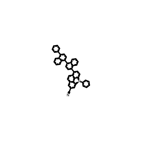 N#Cc1cc2ccc3c(-c4ccc(-c5ccc(-c6ccccc6)c6ccccc56)c5ccccc45)ccc4c3c2c(c1)n4-c1ccccc1